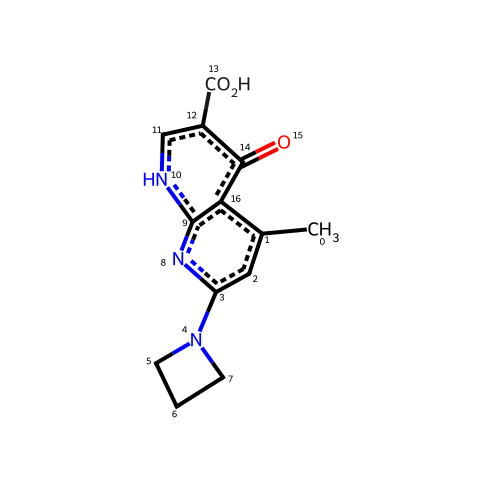 Cc1cc(N2CCC2)nc2[nH]cc(C(=O)O)c(=O)c12